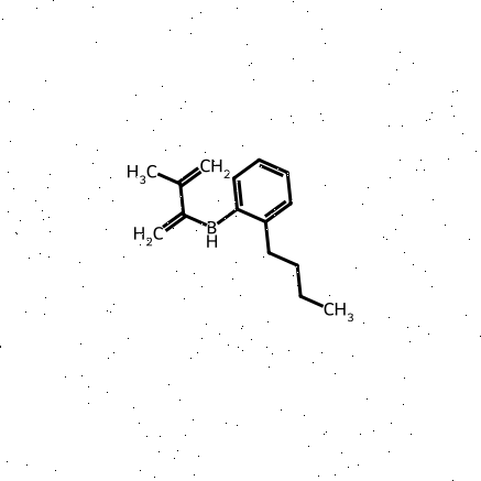 C=C(C)C(=C)Bc1ccccc1CCCC